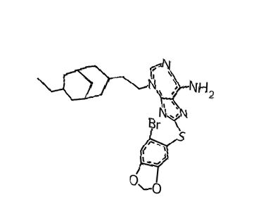 CCC1CC2CC(CCn3cnc(N)c4nc(Sc5cc6c(cc5Br)OCO6)nc3-4)CC(C1)C2